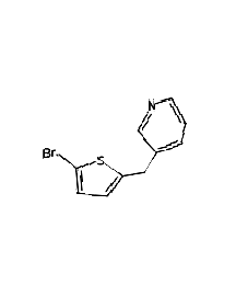 Brc1ccc(Cc2cccnc2)s1